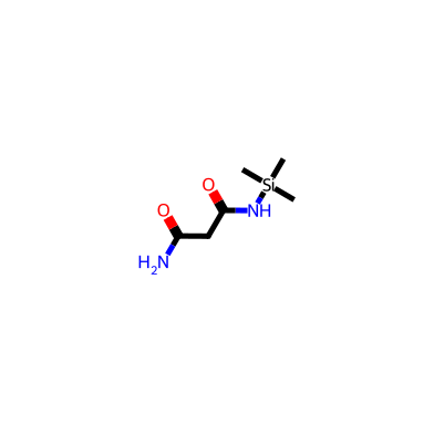 C[Si](C)(C)NC(=O)CC(N)=O